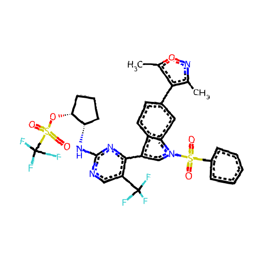 Cc1noc(C)c1-c1ccc2c(-c3nc(N[C@H]4CCC[C@H]4OS(=O)(=O)C(F)(F)F)ncc3C(F)(F)F)cn(S(=O)(=O)c3ccccc3)c2c1